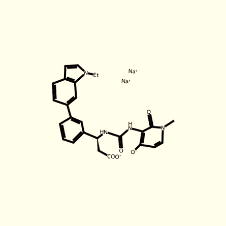 CCn1ccc2ccc(-c3cccc([C@H](CC(=O)[O-])NC(=O)Nc4c([O-])ccn(C)c4=O)c3)cc21.[Na+].[Na+]